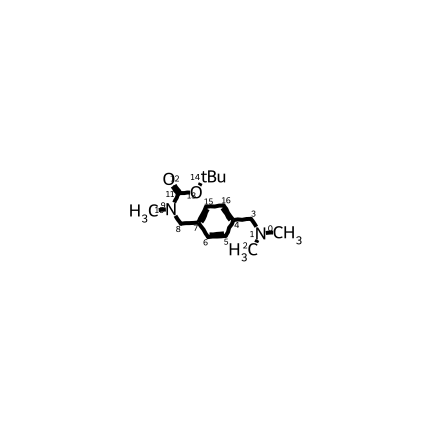 CN(C)Cc1ccc(CN(C)C(=O)OC(C)(C)C)cc1